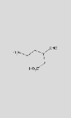 O=CC(CC[N+](=O)[O-])CC(=O)O